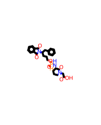 O=C(O)CN1CCC[C@H](N[PH](=O)OCCCC(Cc2ccccc2)N2C(=O)c3ccccc3C2=O)C1=O